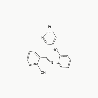 Oc1ccccc1C=Nc1ccccc1O.[Pt].c1ccncc1